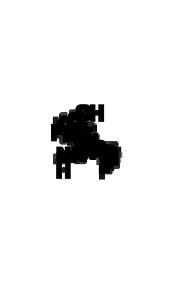 CCc1c(F)ccc2cc(O)cc(-c3ncc4c(N(C)CCNC)nc(OC[C@@]56CCCN5C[C@H](F)C6)nc4c3F)c12